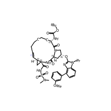 COc1cccc(-c2cccc3c2nc(O[C@@H]2C[C@H]4C(=O)N[C@]5(C(=O)NS(=O)(=O)N(C)C)C[C@H]5/C=C\CCCCC[C@H](NC(=O)OC(C)(C)C)C(=O)N4C2)n3C(C)C)c1